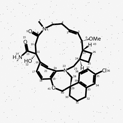 CO[C@H]1/C=C/CCN(C)C(=O)C[C@](O)(C(N)=O)c2ccc3c(c2)N(C[C@@H]2CC[C@H]21)C[C@@]1(CCCc2cc(Cl)ccc21)CO3